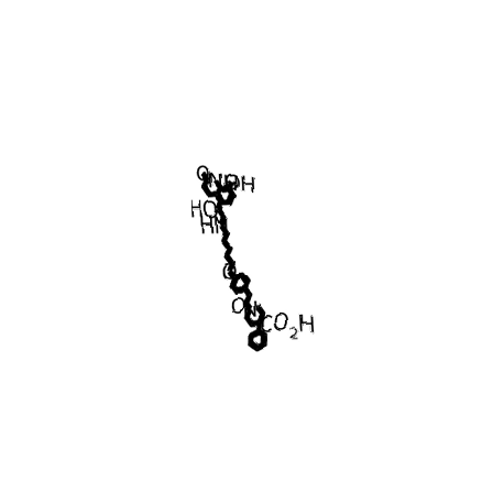 O=C(Cc1ccc(OCCCCCNCC(O)c2ccc(O)c3[nH]c(=O)ccc23)cc1)N1CCC(C(=O)O)(c2ccccc2)CC1